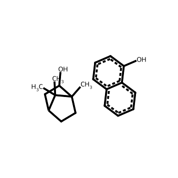 CC1(C)C2CCC1(C)C(O)C2.Oc1cccc2ccccc12